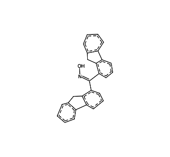 ON=C(c1cccc2c1Cc1ccccc1-2)c1cccc2c1Cc1ccccc1-2